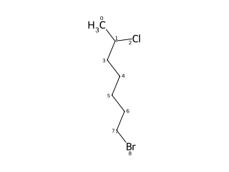 CC(Cl)CCCC[CH]Br